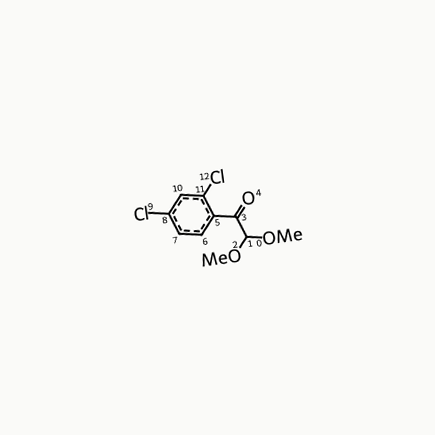 COC(OC)C(=O)c1ccc(Cl)cc1Cl